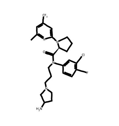 Cc1cc(C(F)(F)F)cc(N2CCC[C@H]2C(=O)N(CCCN2CCC(N)C2)c2ccc(F)c(Cl)c2)n1